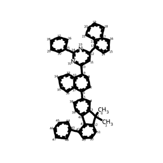 CC1(C)c2cc(-c3ccc(-c4cc(-c5cccc6ccccc56)nc(-c5ccccc5)n4)c4ccccc34)ccc2-c2c(-c3ccccc3)cccc21